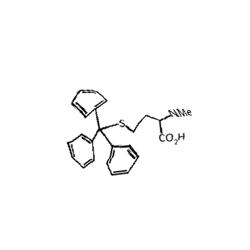 CNC(CCSC(c1ccccc1)(c1ccccc1)c1ccccc1)C(=O)O